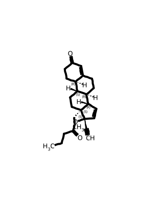 C#C[C@]1(OC(=O)CCC)C=C[C@H]2[C@@H]3CCC4=CC(=O)CC[C@@H]4[C@H]3CC[C@@]21CC